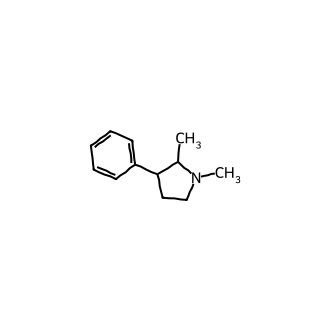 CC1C(c2ccccc2)CCN1C